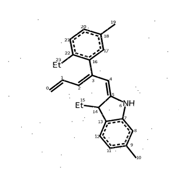 C=C/C=C(/C=C1/Nc2cc(C)ccc2C1CC)c1cc(C)ccc1CC